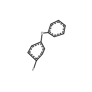 Fc1[c]cc(Oc2ccccc2)cc1